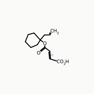 C=CCC1(OC(=O)/C=C/C(=O)O)CCCCC1